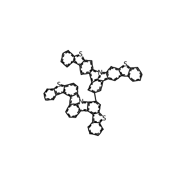 c1ccc2c(c1)sc1cc3c(cc12)c1cc(-c2cc4sc5ccccc5c4c4c5cccc6c7c8c(ccc7n(c24)c65)sc2ccccc28)cc2c4cc5c(cc4n3c12)sc1ccccc15